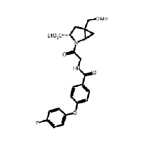 CCOC(=O)[C@@H]1CC2(COC)CC2N1C(=O)CNC(=O)c1ccc(Oc2ccc(F)cc2)cc1